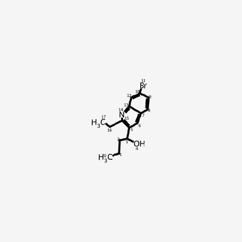 CCCC(O)c1cc2ccc(Br)cc2nc1CC